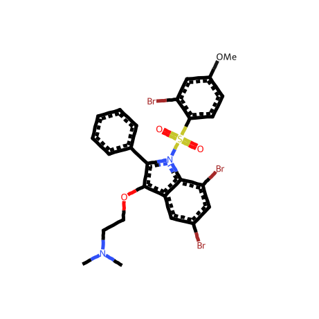 COc1ccc(S(=O)(=O)n2c(-c3ccccc3)c(OCCN(C)C)c3cc(Br)cc(Br)c32)c(Br)c1